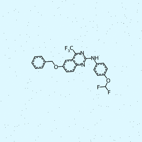 FC(F)Oc1ccc(Nc2nc(C(F)(F)F)c3cc(OCc4ccccc4)ccc3n2)cc1